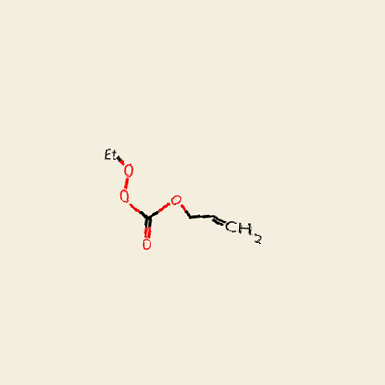 C=CCOC(=O)OOCC